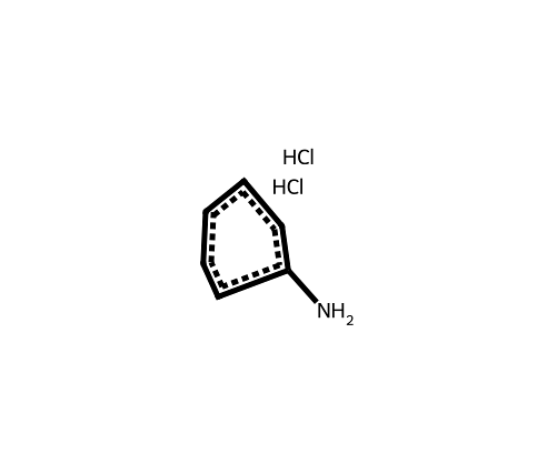 Cl.Cl.Nc1ccccc1